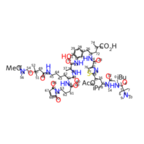 CC[C@H](C)[C@H](NC(=O)C(C)(C)N(C)C)C(=O)N(C)C(C[C@@H](OC(C)=O)c1nc(C(=O)N[C@@H](Cc2ccc(O)c(NC(=O)[C@H](C)NC(=O)[C@H](CCCCNC(=O)CC(C)(C)OCN(C)OC)NC(=O)CCCN3C(=O)C=CC3=O)c2)CC(C)C(=O)O)cs1)C(C)C